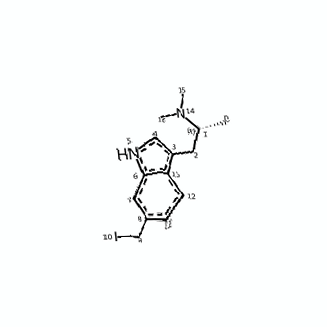 C[C@H](Cc1c[nH]c2cc(CI)ccc12)N(C)C